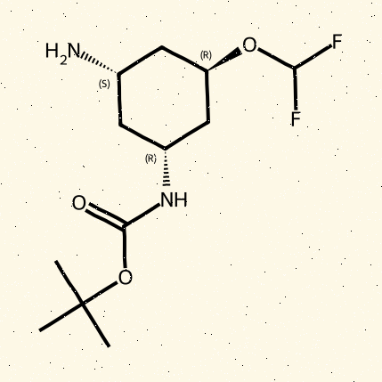 CC(C)(C)OC(=O)N[C@@H]1C[C@H](N)C[C@@H](OC(F)F)C1